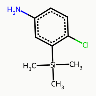 C[Si](C)(C)c1cc(N)ccc1Cl